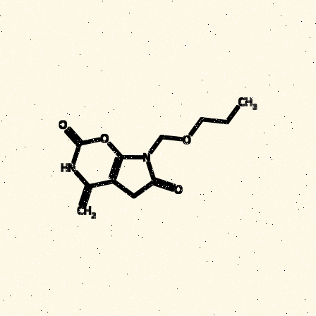 C=C1NC(=O)OC2=C1CC(=O)N2COCCC